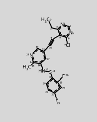 CCc1ncnc(Cl)c1C#Cc1cnc(C)c(NSc2ccc(F)cc2F)c1